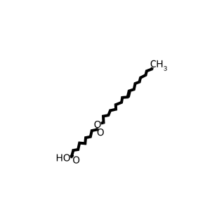 CCCCCCCCC=CCCCCCCCCOC(=O)CCCCCCCC(=O)O